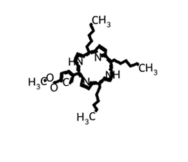 CCCCCCc1c2nc(c(CCCCCC)c3ccc([nH]3)c(-c3ccc(C(=O)OC)cc3)c3nc(c(CCCCCC)c4ccc1[nH]4)C=C3)C=C2